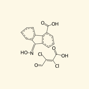 O=C(O)c1cccc2c1-c1ccccc1C2=NO.O=CC(Cl)=C(Cl)C(=O)O